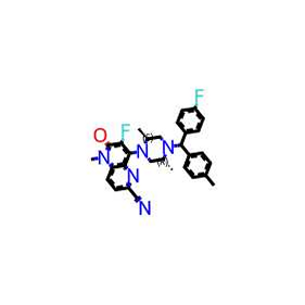 Cc1ccc(C(c2ccc(F)cc2)N2C[C@H](C)N(c3c(F)c(=O)n(C)c4ccc(C#N)nc34)C[C@H]2C)cc1